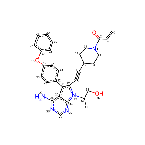 C=CC(=O)N1CCC(C#Cc2c(-c3ccc(Oc4ccccc4)cc3)c3c(N)ncnc3n2C(C)CO)CC1